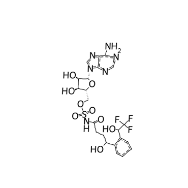 Nc1ncnc2c1ncn2[C@@H]1O[C@H](COS(=O)(=O)NC(=O)CCC(O)c2ccccc2C(O)C(F)(F)F)[C@@H](O)[C@H]1O